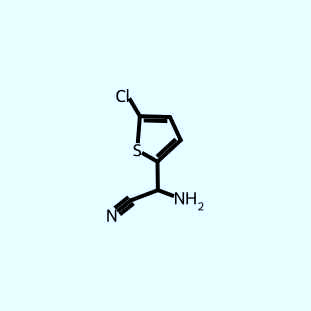 N#CC(N)c1ccc(Cl)s1